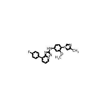 COc1cc(Nc2nc3c(-c4ccc(F)cc4)cccn3n2)ccc1-n1cnc(C)c1